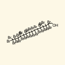 OCC(Br)(Br)C(Br)(Br)C(Br)(Br)C(Br)(Br)C(Br)(Br)C(Br)(Br)C(Br)(Br)C(Br)(Br)C(Br)(Br)C(Br)(Br)C(Br)(Br)C(Br)(Br)C(Br)(Br)C(Br)(Br)Br